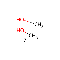 CO.CO.[Zr]